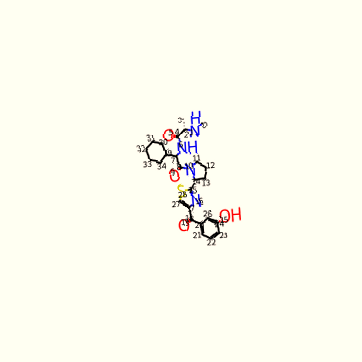 CN[C@@H](C)C(=O)NC(C(=O)N1CCC[C@H]1c1nc(C(=O)c2cccc(O)c2)cs1)C1CCCCC1